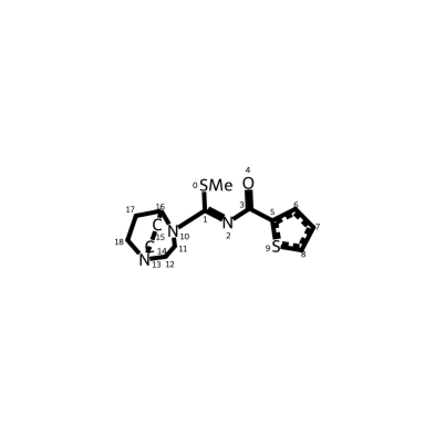 CSC(=NC(=O)c1cccs1)N1CCN2CCC1CC2